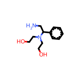 NCC(c1ccccc1)N(CCO)CCO